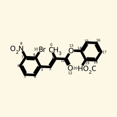 CC(=Cc1cccc([N+](=O)[O-])c1Br)C(=O)Oc1ccccc1C(=O)O